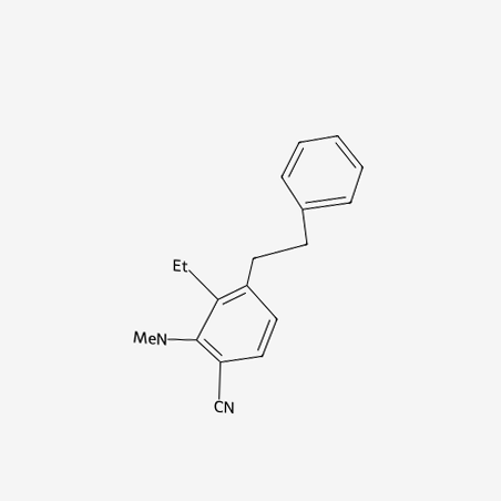 CCc1c(CCc2ccccc2)ccc(C#N)c1NC